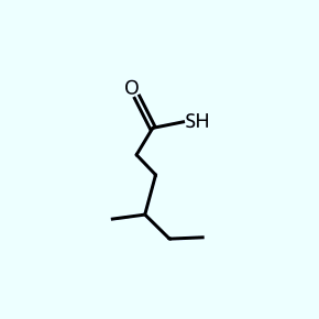 CCC(C)CCC(=O)S